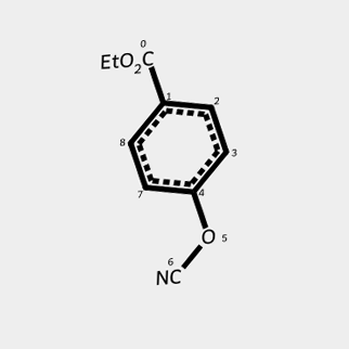 CCOC(=O)c1ccc(OC#N)cc1